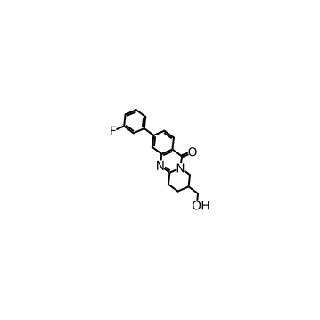 O=c1c2ccc(-c3cccc(F)c3)cc2nc2n1CC(CO)CC2